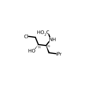 CC(C)C[C@H](NC(=O)O)[C@H](O)CCl